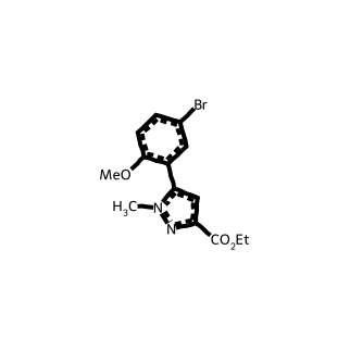 CCOC(=O)c1cc(-c2cc(Br)ccc2OC)n(C)n1